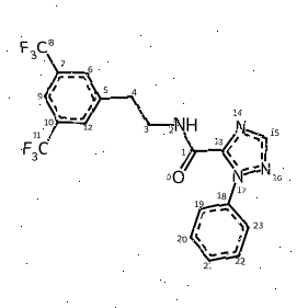 O=C(NCCc1cc(C(F)(F)F)cc(C(F)(F)F)c1)c1ncnn1-c1ccccc1